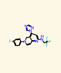 Fc1ccc(N2C=Cc3nc(NCC(F)(F)F)cc(-n4cncn4)c3C2)cc1